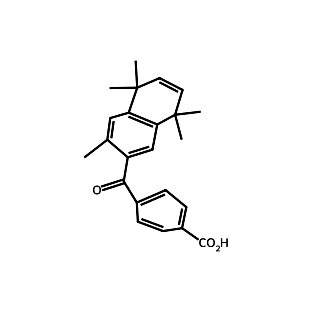 Cc1cc2c(cc1C(=O)c1ccc(C(=O)O)cc1)C(C)(C)C=CC2(C)C